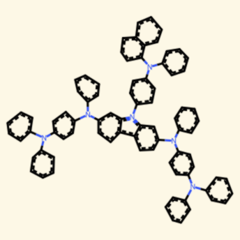 c1ccc(N(c2ccccc2)c2ccc(N(c3ccccc3)c3ccc4c5ccc(N(c6ccccc6)c6ccc(N(c7ccccc7)c7ccccc7)cc6)cc5n(-c5ccc(N(c6ccccc6)c6cccc7ccccc67)cc5)c4c3)cc2)cc1